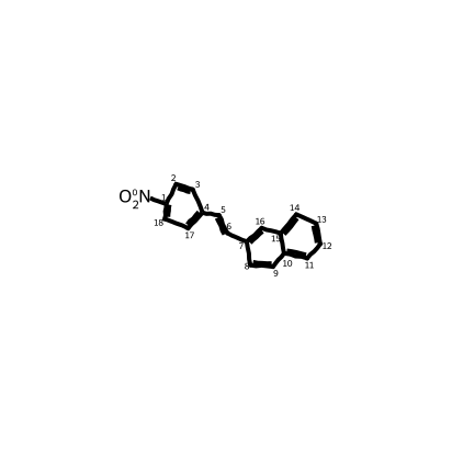 O=[N+]([O-])c1ccc(C=Cc2ccc3ccccc3c2)cc1